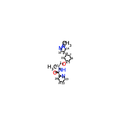 C[C@H](COc1c[c]cc(-c2cnn(C)c2)c1)NC(=O)c1ccccn1